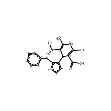 CC1=C(C(=O)O)C(c2ccsc2Cc2ccccc2)C([N+](=O)[O-])=C(C)N1